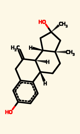 C=C1Cc2cc(O)ccc2[C@H]2CC[C@]3(C)C[C@](C)(O)C[C@H]3[C@H]12